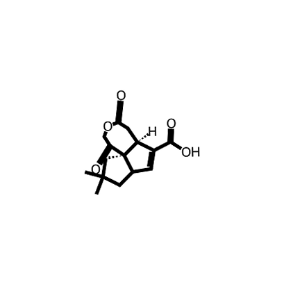 CC1(C)CC2C=C(C(=O)O)[C@@H]3CC(=O)OCC(=O)[C@]23C1